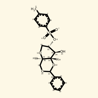 Cc1ccc(S(=O)(=O)O[C@H]2CO[C@@H]3COC(c4ccccc4)O[C@H]3[C@@H]2O)cc1